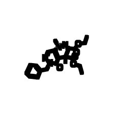 CCOC(=O)C1=NN(C)c2cnn(Cc3ccccc3)c(=O)c2C1(C)C(=O)OCC